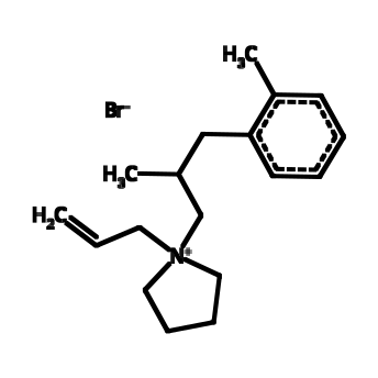 C=CC[N+]1(CC(C)Cc2ccccc2C)CCCC1.[Br-]